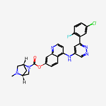 CN1C[C@H]2C[C@@H]1CN2C(=O)Oc1ccc2c(Nc3cnnc(-c4cc(Cl)ccc4F)c3)ccnc2c1